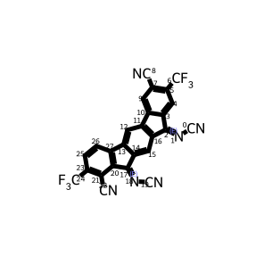 N#C/N=c1\c2cc(C(F)(F)F)c(C#N)cc2c2cc3c(cc12)/c(=N\C#N)c1c(C#N)c(C(F)(F)F)ccc13